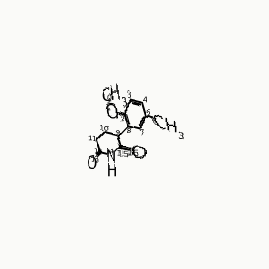 COc1ccc(C)cc1C1CCC(=O)NC1=O